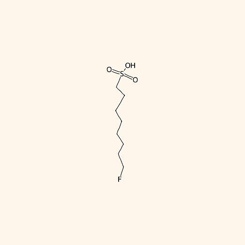 O=S(=O)(O)CCCCCCCCF